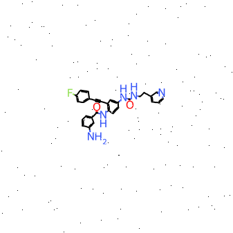 Nc1cccc(C(=O)Nc2ccc(NC(=O)NCCc3cccnc3)cc2C#Cc2ccc(F)cc2)c1